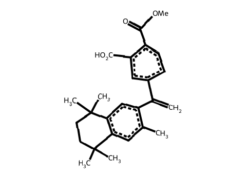 C=C(c1ccc(C(=O)OC)c(C(=O)O)c1)c1cc2c(cc1C)C(C)(C)CCC2(C)C